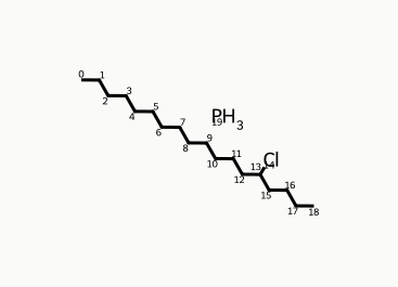 CCCCCCCCCCCCCC(Cl)CCCC.P